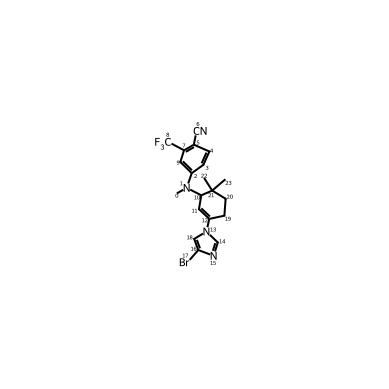 CN(c1ccc(C#N)c(C(F)(F)F)c1)C1C=C(n2cnc(Br)c2)CCC1(C)C